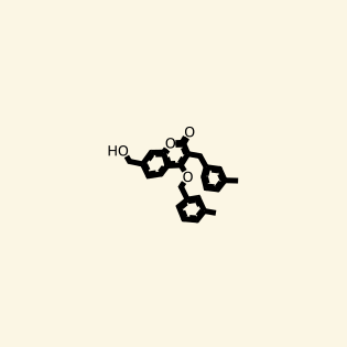 Cc1cccc(COc2c(Cc3cccc(C)c3)c(=O)oc3cc(CO)ccc23)c1